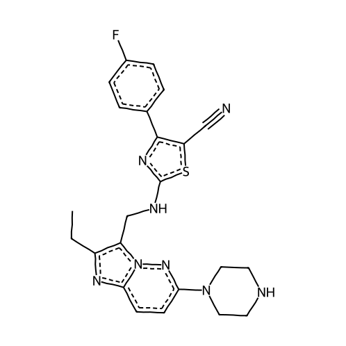 CCc1nc2ccc(N3CCNCC3)nn2c1CNc1nc(-c2ccc(F)cc2)c(C#N)s1